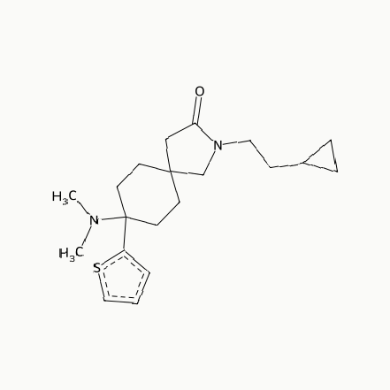 CN(C)C1(c2cccs2)CCC2(CC1)CC(=O)N(CCC1CC1)C2